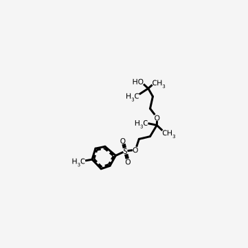 Cc1ccc(S(=O)(=O)OCCC(C)(C)OCCC(C)(C)O)cc1